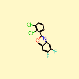 Fc1cc2c(cc1F)=NC(c1cccc(Cl)c1Cl)OC=2